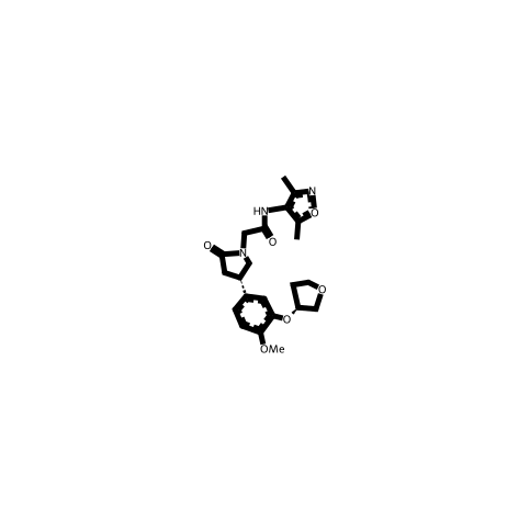 COc1ccc([C@@H]2CC(=O)N(CC(=O)Nc3c(C)noc3C)C2)cc1O[C@@H]1CCOC1